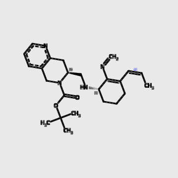 C=NC1=C(/C=C\C)CCC[C@@H]1NC[C@@H]1Cc2ncccc2CN1C(=O)OC(C)(C)C